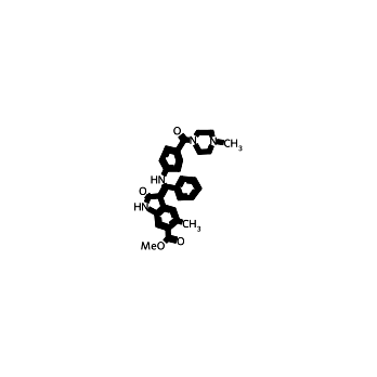 COC(=O)c1cc2c(cc1C)/C(=C(/Nc1ccc(C(=O)N3CCN(C)CC3)cc1)c1ccccc1)C(=O)N2